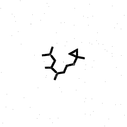 CC(CN(C)C)N(C)CCOC1(C)CC1